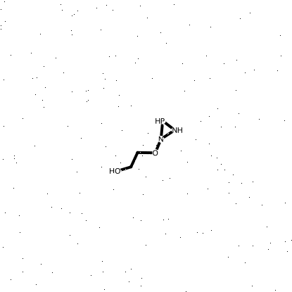 OCCOn1[nH][pH]1